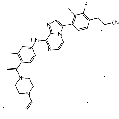 C=CN1CCN(C(=C)c2ccc(Nc3nccn4c(-c5ccc(CCC#N)c(F)c5C)cnc34)cc2C)CC1